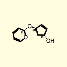 O[C@H]1C=C[C@H](O[C@H]2C=CC=CO2)C1